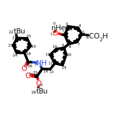 CCCCCCCOc1ccc(C(=O)O)cc1-c1ccc(CC(NC(=O)c2ccc(C(C)(C)C)cc2)C(=O)OC(C)(C)C)cc1